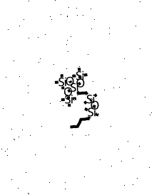 CCCC[Si](C)(C)O[Si](C)(C)CC[Si](O[Si](C)(C)C)(O[Si](C)(C)C)O[Si](C)(C)C